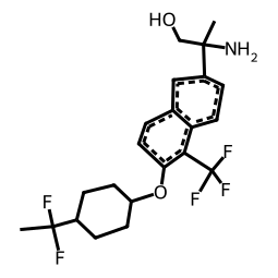 CC(N)(CO)c1ccc2c(C(F)(F)F)c(OC3CCC(C(C)(F)F)CC3)ccc2c1